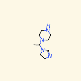 CC(N1C=NCC1)N1CCNCC1